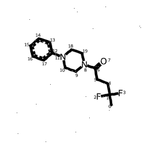 CC(F)(F)CCC(=O)N1CCN(c2ccccc2)CC1